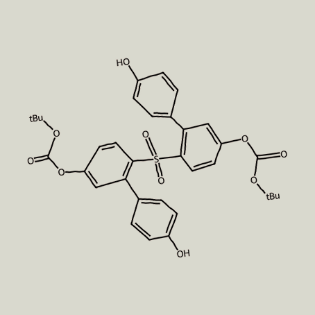 CC(C)(C)OC(=O)Oc1ccc(S(=O)(=O)c2ccc(OC(=O)OC(C)(C)C)cc2-c2ccc(O)cc2)c(-c2ccc(O)cc2)c1